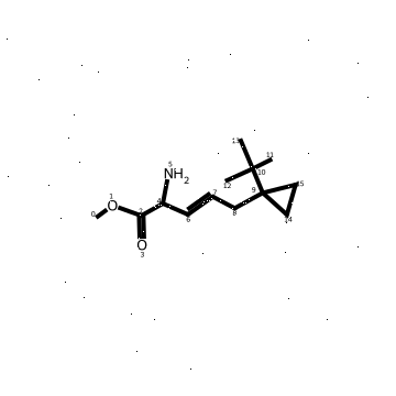 COC(=O)C(N)C=CCC1(C(C)(C)C)CC1